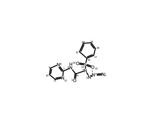 [N-]=[N+]=NN(C(=O)Nc1ncccn1)S(=O)(=O)c1ccccc1